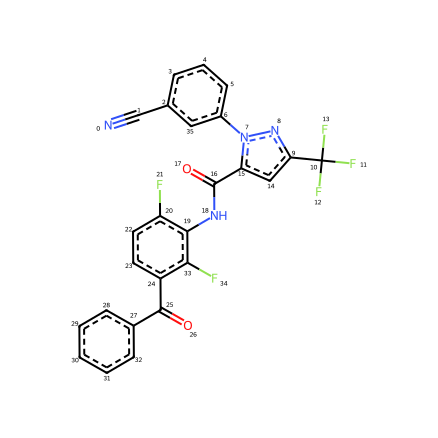 N#Cc1cccc(-n2nc(C(F)(F)F)cc2C(=O)Nc2c(F)ccc(C(=O)c3ccccc3)c2F)c1